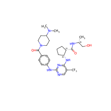 C[C@H](CO)NC(=O)[C@H]1CCC[C@H]1Nc1nc(Nc2ccc(C(=O)N3CCC(N(C)C)CC3)cc2)ncc1C(F)(F)F